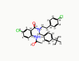 CC(=O)Nc1ccc(Cl)cc1C(=O)N(CCc1ccc(Cl)cc1)Cc1ccc(C(C)(C)C)cc1